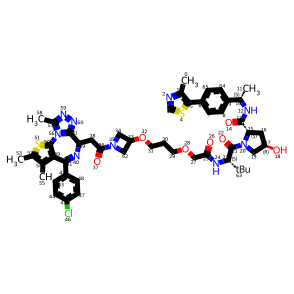 Cc1ncsc1-c1ccc([C@H](C)NC(=O)[C@@H]2C[C@@H](O)CN2C(=O)[C@@H](NC(=O)COCCCOC2CN(C(=O)CC3N=C(c4ccc(Cl)cc4)c4c(sc(C)c4C)-n4c(C)nnc43)C2)C(C)(C)C)cc1